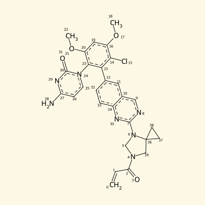 C=CC(=O)N1CN(c2ncc3cc(-c4c(Cl)c(OC)cc(OC)c4-n4ccc(N)nc4=O)ccc3n2)C2(CC2)C1